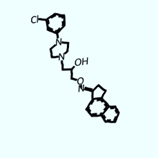 OC(CO/N=C1\CCc2c1ccc1ccccc21)CN1CCN(c2cccc(Cl)c2)CC1